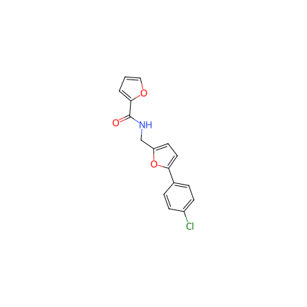 O=C(NCc1ccc(-c2ccc(Cl)cc2)o1)c1ccco1